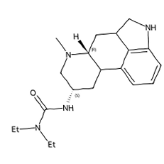 CCN(CC)C(=O)N[C@H]1CC2c3cccc4c3C(CN4)C[C@H]2N(C)C1